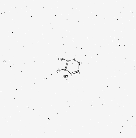 Cc1cnccc1Cl.Cl